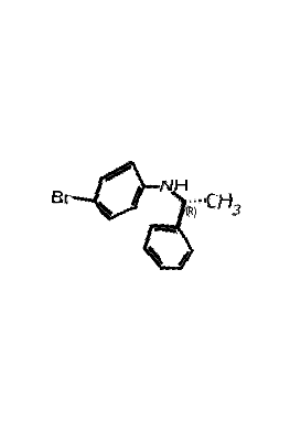 C[C@@H](Nc1ccc(Br)cc1)c1ccccc1